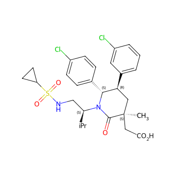 CC(C)[C@@H](CNS(=O)(=O)C1CC1)N1C(=O)[C@](C)(CC(=O)O)C[C@H](c2cccc(Cl)c2)[C@H]1c1ccc(Cl)cc1